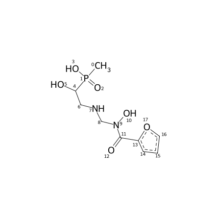 CP(=O)(O)C(O)CNCN(O)C(=O)c1ccco1